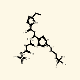 CCc1ccc(C(=O)CC(NC(=O)CC(=O)NS(C)(=O)=O)c2ccc(OCCCC(F)(F)F)cc2)s1